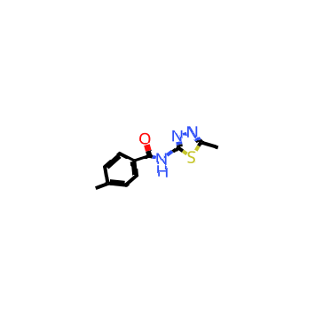 Cc1ccc(C(=O)Nc2nnc(C)s2)cc1